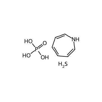 C1=CC=CNC=C1.O=P(O)(O)O.S